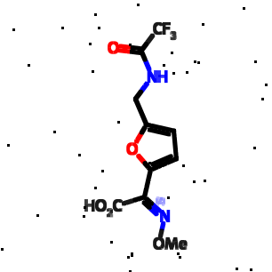 CO/N=C(\C(=O)O)c1ccc(CNC(=O)C(F)(F)F)o1